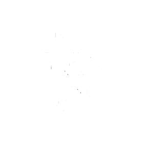 C=CCOC(=O)C(Oc1nc(-c2ccc(C)s2)cc(-c2ccco2)c1N)c1ccccc1